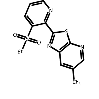 CCS(=O)(=O)c1cccnc1-c1nc2cc(C(F)(F)F)cnc2s1